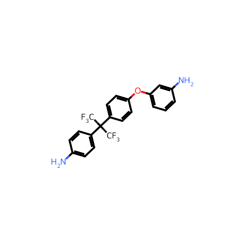 Nc1ccc(C(c2ccc(Oc3cccc(N)c3)cc2)(C(F)(F)F)C(F)(F)F)cc1